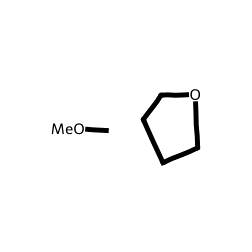 C1CCOC1.COC